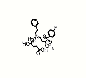 CC(CCN(C)CCc1ccccc1)S(=O)(=O)c1ccc(F)cc1.O=C(O)C=CC(=O)O